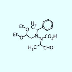 CCOC(CN([C@H](C)c1ccccc1)N(C(=O)O)C(C)C=O)OCC